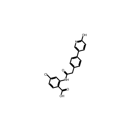 O=C(Cc1ccc(-c2ccc(O)nc2)cc1)Nc1cc(Cl)ccc1C(=O)O